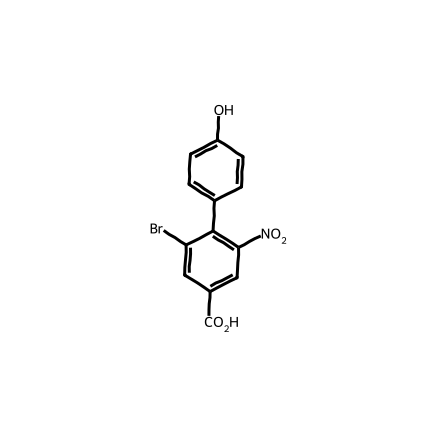 O=C(O)c1cc(Br)c(-c2ccc(O)cc2)c([N+](=O)[O-])c1